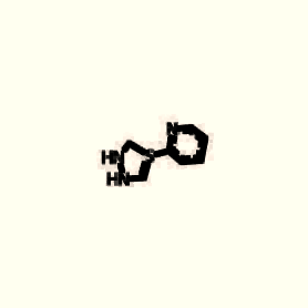 C1=S(c2ccccn2)CNN1